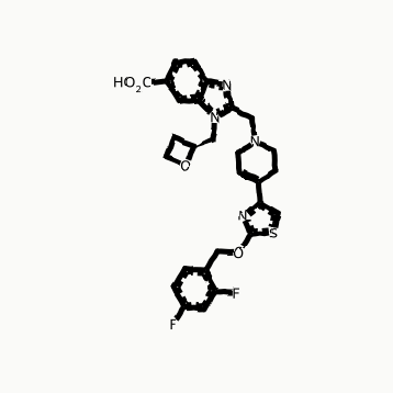 O=C(O)c1ccc2nc(CN3CC=C(c4csc(OCc5ccc(F)cc5F)n4)CC3)n(C[C@@H]3CCO3)c2c1